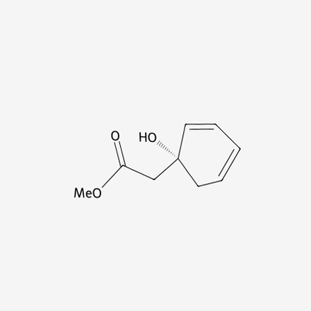 COC(=O)C[C@@]1(O)C=CC=CC1